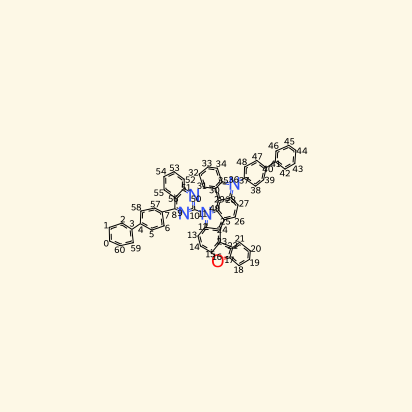 c1ccc(-c2ccc(-c3nc(-n4c5ccc6oc7ccccc7c6c5c5ccc6c(c7ccccc7n6-c6ccc(-c7ccccc7)cc6)c54)nc4ccccc34)cc2)cc1